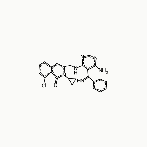 N=C(c1ccccc1)c1c(N)ncnc1NCc1cc2cccc(Cl)c2c(=O)n1C1CC1